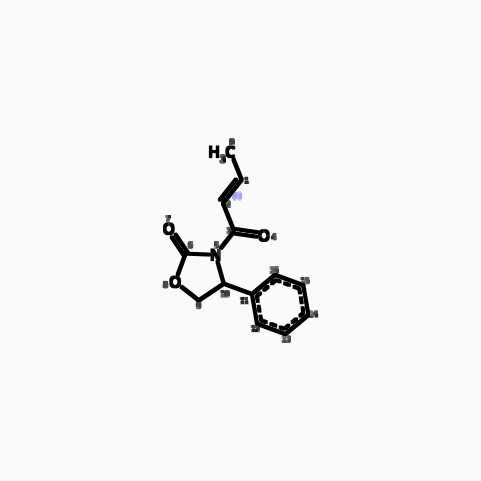 C/C=C/C(=O)N1C(=O)OCC1c1ccccc1